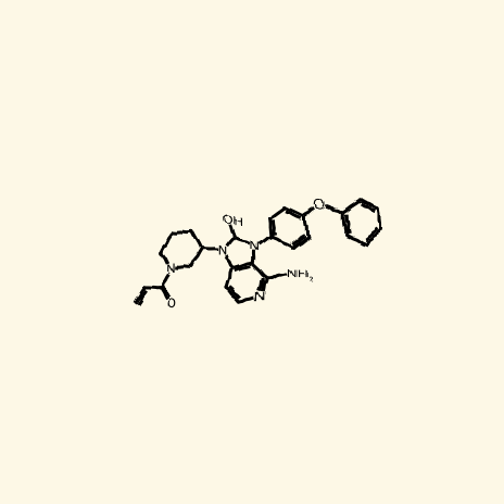 C=CC(=O)N1CCCC(N2c3ccnc(N)c3N(c3ccc(Oc4ccccc4)cc3)C2O)C1